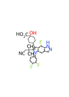 CC(C)(CC#N)c1c(C2CCC(O)(C(=O)O)CC2)c2c(F)c3[nH]ncc3cc2n1-c1ccc(F)c(F)c1